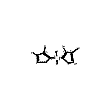 CC1=CC[C]([Hf]([CH3])([CH3])[C]2=C(C)C(C)=CC2)=C1C